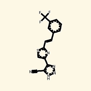 N#Cc1[nH]nnc1-c1csc(C=Cc2cccc(C(F)(F)F)c2)n1